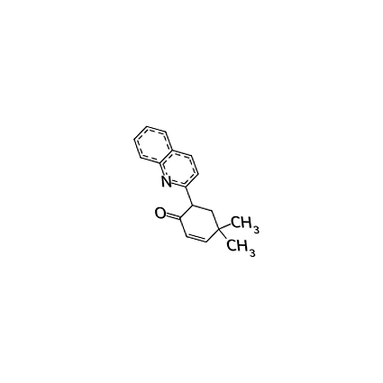 CC1(C)C=CC(=O)C(c2ccc3ccccc3n2)C1